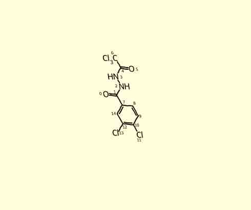 O=C(NNC(=O)C(Cl)(Cl)Cl)c1ccc(Cl)c(Cl)c1